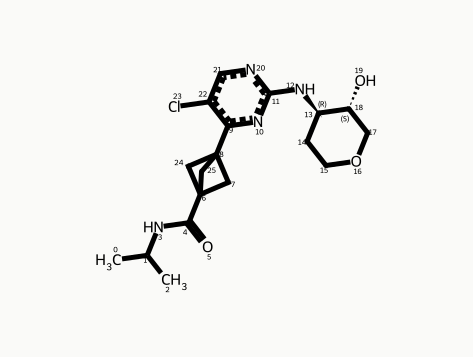 CC(C)NC(=O)C12CC(c3nc(N[C@@H]4CCOC[C@H]4O)ncc3Cl)(C1)C2